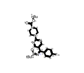 CCCCOC(=O)N1CCN(c2ncc(/C(=N\[S@@+]([O-])C(C)(C)C)c3ccc(F)cc3)cn2)CC1